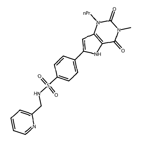 CCCn1c(=O)n(C)c(=O)c2[nH]c(-c3ccc(S(=O)(=O)NCc4ccccn4)cc3)cc21